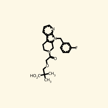 CC(C)(COCC(=O)N1CCc2c(n(Cc3cccc(F)c3)c3ncccc23)C1)C(=O)O